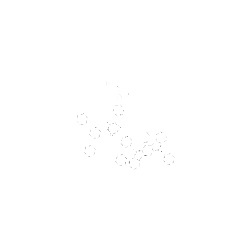 C=C/C=C(\C=C)c1ccc(-c2nc(-c3cc(-c4ccccc4)cc(-c4ccccc4)c3)nc(-c3cc(-c4ccccc4)c(-n4c5ccccc5c5cc6c(cc54)c4ccccc4n6-c4ccccc4)c(C4C=CC=CC4)c3)n2)cc1